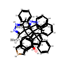 CSC1=NN=C(C)C1(C(c1ccccc1)(c1ccccc1)c1ccccc1)C1(C2(C(c3ccccc3)(c3ccccc3)c3ccccc3)C(C)=NN=C2SC)CC(=O)c2cscc2C1